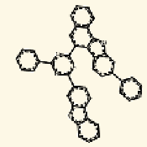 c1ccc(-c2ccc3c(c2)oc2c4ccccc4cc(-c4nc(-c5ccccc5)nc(-c5ccc6c(c5)sc5ccccc56)n4)c32)cc1